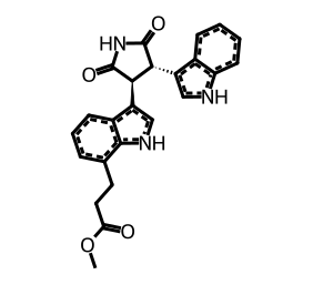 COC(=O)CCc1cccc2c([C@H]3C(=O)NC(=O)[C@@H]3c3c[nH]c4ccccc34)c[nH]c12